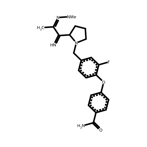 CN/N=C(/C)C(=N)C1CCCN1Cc1ccc(Oc2ccc(C(N)=O)cc2)c(F)c1